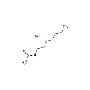 CCCCOCCOC(C)=O.[NaH]